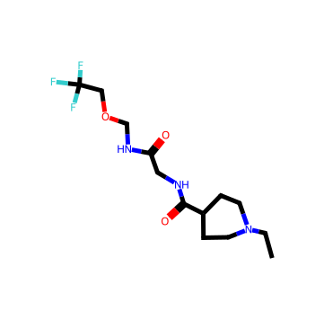 CCN1CCC(C(=O)NCC(=O)NCOCC(F)(F)F)CC1